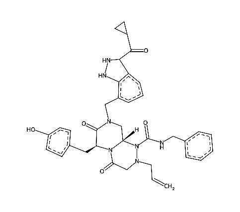 C=CCN1CC(=O)N2[C@@H](Cc3ccc(O)cc3)C(=O)N(Cc3cccc4c3NNC4C(=O)C3CC3)C[C@@H]2N1C(=O)NCc1ccccc1